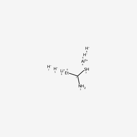 CCC(N)S.[Al+3].[H-].[H-].[H-].[H-].[Li+]